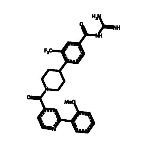 COc1ccccc1-c1cc(C(=O)N2CCC(c3ccc(C(=O)NC(=N)N)cc3C(F)(F)F)CC2)ccn1